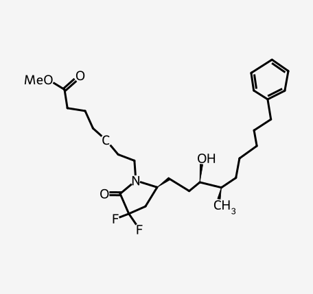 COC(=O)CCCCCCN1C(=O)C(F)(F)C[C@@H]1CC[C@@H](O)[C@H](C)CCCCCc1ccccc1